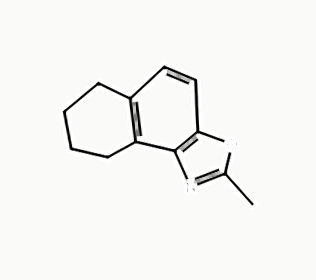 Cc1nc2c3c(ccc2o1)CCCC3